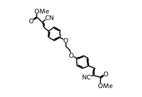 COC(=O)/C(C#N)=C/c1ccc(OCCOc2ccc(/C=C(\C#N)C(=O)OC)cc2)cc1